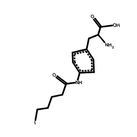 NC(Cc1ccc(NC(=O)CCCCI)cc1)C(=O)O